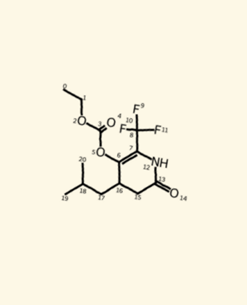 CCOC(=O)OC1=C(C(F)(F)F)NC(=O)CC1CC(C)C